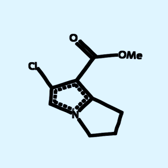 COC(=O)c1c(Cl)cn2c1CCC2